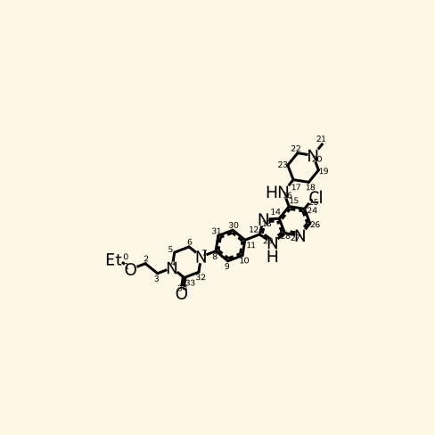 CCOCCN1CCN(c2ccc(-c3nc4c(NC5CCN(C)CC5)c(Cl)cnc4[nH]3)cc2)CC1=O